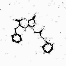 NC(=O)[C@H](Cc1ccccc1)N[C@H]1CC(=O)N[C@@H]1CC(=O)OCc1ccccc1